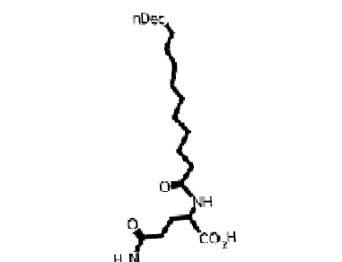 CCCCCCCCCCCCCCCCCCCC(=O)NC(CCC(N)=O)C(=O)O